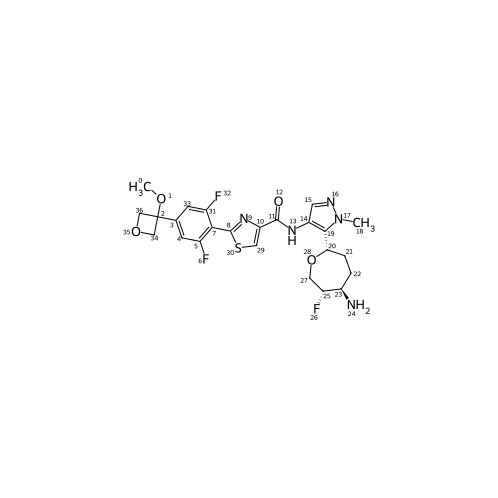 COC1(c2cc(F)c(-c3nc(C(=O)Nc4cnn(C)c4[C@@H]4CC[C@@H](N)[C@H](F)CO4)cs3)c(F)c2)COC1